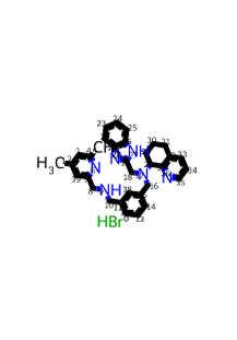 Br.Cc1cc(C)nc(CNCc2cccc(CN(Cc3nc4ccccc4[nH]3)C3CCCc4cccnc43)c2)c1